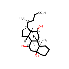 C[C@H](CCC(=O)O)[C@H]1CC[C@H]2[C@@H]3[C@H](O)C[C@@]4(O)CCCC[C@]4(C)[C@H]3C[C@H](O)[C@]12C